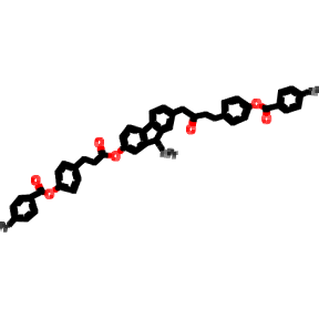 CCCc1ccc(C(=O)Oc2ccc(CCC(=O)Cc3ccc4c(c3)C(CCC)c3cc(OC(=O)CCc5ccc(OC(=O)c6ccc(CCC)cc6)cc5)ccc3-4)cc2)cc1